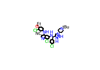 CCOc1ccc(Nc2c(C#N)cnc3c(Cl)cc(N[C@H](C4=CN(C5CCN(C(C)(C)C)CC5)NN4)c4ccc(Cl)cc4)cc23)cc1Cl